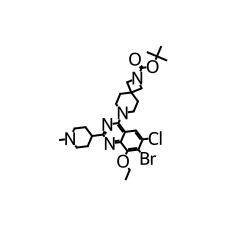 CCOc1c(Br)c(Cl)cc2c(N3CCC4(CC3)CN(C(=O)OC(C)(C)C)C4)nc(C3CCN(C)CC3)nc12